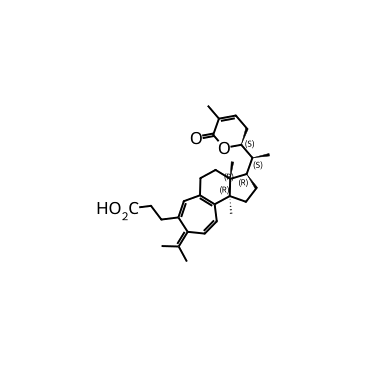 CC1=CC[C@@H]([C@@H](C)[C@H]2CC[C@@]3(C)C4=C(C=C(CCC(=O)O)C(=C(C)C)C=C4)CC[C@]23C)OC1=O